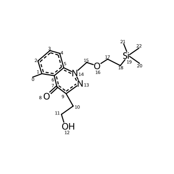 Cc1cccc2c1c(=O)c(CCO)nn2COCC[Si](C)(C)C